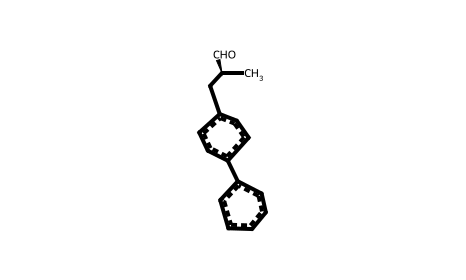 C[C@H](C=O)Cc1ccc(-c2ccccc2)cc1